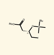 COC(=O)C[C@@H](CI)O[Si](C)(C)C(C)(C)C